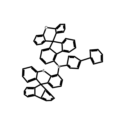 c1ccc(-c2ccc(N(c3cccc4c3Sc3ccccc3C43c4ccccc4-c4ccccc43)c3cccc4c3-c3ccccc3C43c4ccccc4Oc4ccccc43)cc2)cc1